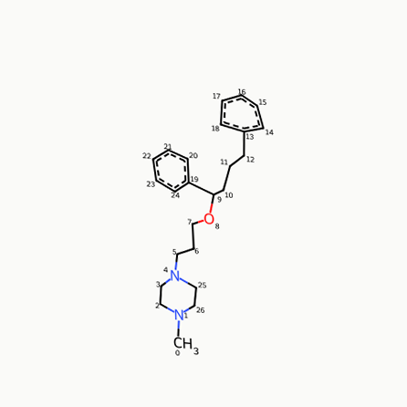 CN1CCN(CCCOC(CCCc2ccccc2)c2ccccc2)CC1